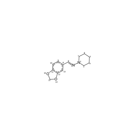 C(=NN1CCCCC1)c1ccc2c(c1)OCO2